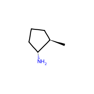 C[C@@H]1CCC[C@H]1N